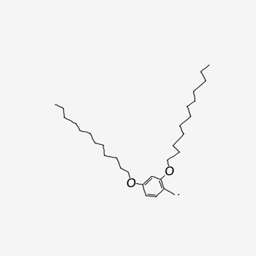 [CH2]c1ccc(OCCCCCCCCCCCC)cc1OCCCCCCCCCCCC